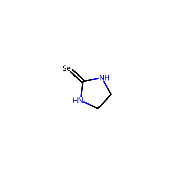 [Se]=C1NCCN1